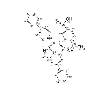 C[C@H](NC(=O)c1cc(-c2ccccc2)cc2cnn(Cc3ccc(-c4ccccc4)cc3)c12)c1ccc(C(=O)O)cc1